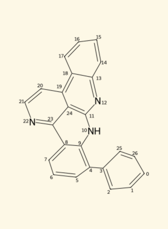 c1ccc(-c2cccc3c2Nc2nc4ccccc4c4ccnc-3c24)cc1